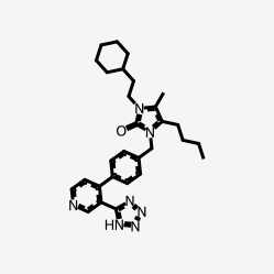 CCCCc1c(C)n(CCC2CCCCC2)c(=O)n1Cc1ccc(-c2ccncc2-c2nnn[nH]2)cc1